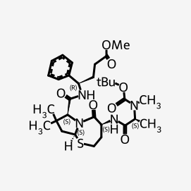 COC(=O)CC[C@@H](NC(=O)[C@H]1N2C(=O)[C@@H](NC(=O)[C@H](C)N(C)C(=O)OC(C)(C)C)CCS[C@H]2CC1(C)C)c1ccccc1